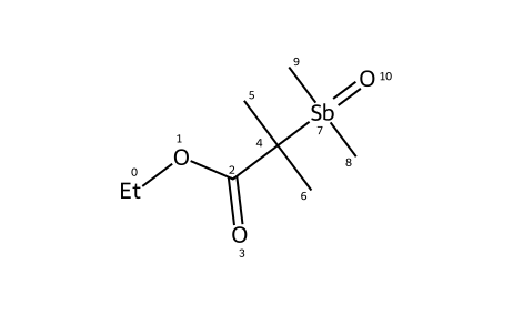 CCOC(=O)[C](C)(C)[Sb]([CH3])([CH3])=[O]